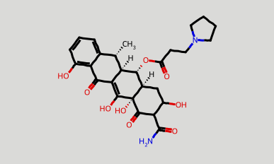 C[C@H]1c2cccc(O)c2C(=O)C2=C(O)[C@]3(O)C(=O)C(C(N)=O)C(O)C[C@@H]3[C@@H](OC(=O)CCN3CCCC3)[C@@H]21